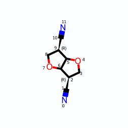 N#C[C@@H]1COC2C1OC[C@H]2C#N